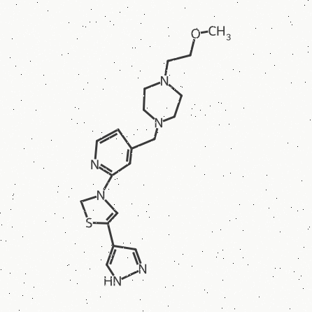 COCCN1CCN(Cc2ccnc(N3C=C(c4cn[nH]c4)SC3)c2)CC1